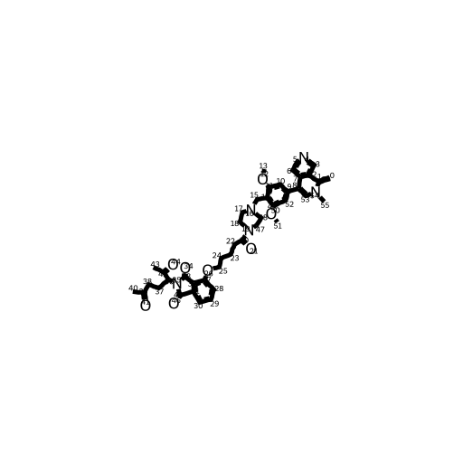 C=C1c2cnccc2C(c2cc(OC)c(CN3CCN(C(=O)CCCCOc4cccc5c4C(=O)N(C(CCC(C)=O)C(C)=O)C5=O)CC3)c(OC)c2)=CN1C